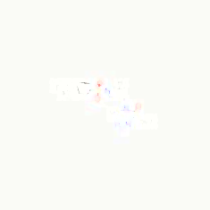 CCC[C@H](N)C(=O)N(C(C)C)C1CC[C@H]2CN(S(=O)(=O)c3ccc(C(F)(F)F)cc3)CC12